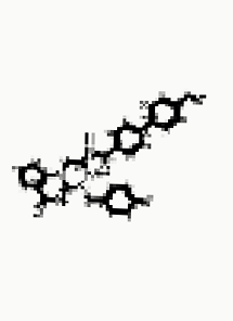 O=c1nc(SCc2ccc(F)cc2)n(CC2=NOC(c3ccc(-c4ccc(CF)cc4)cc3)N2)c2c1CCC2